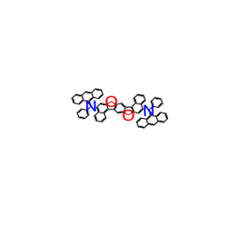 c1ccc(N(c2c3ccccc3cc3ccccc23)c2cc3oc4cc5c(cc4c3c3ccccc23)oc2cc(N(c3ccccc3)c3c4ccccc4cc4ccccc34)c3ccccc3c25)cc1